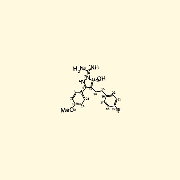 COc1ccc(-c2nn(C(=N)N)c(O)c2CCc2ccc(F)cc2)cc1